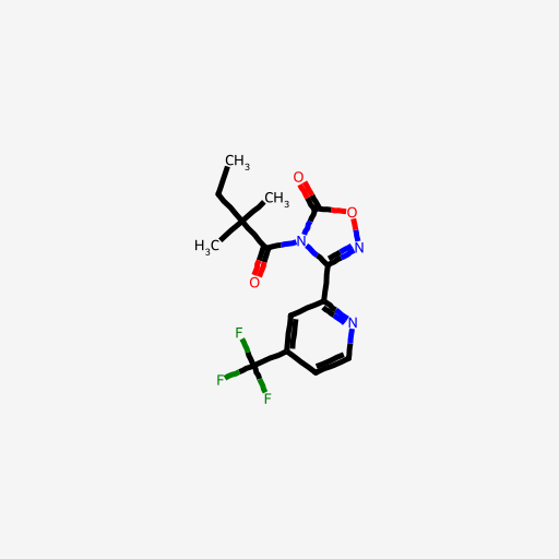 CCC(C)(C)C(=O)n1c(-c2cc(C(F)(F)F)ccn2)noc1=O